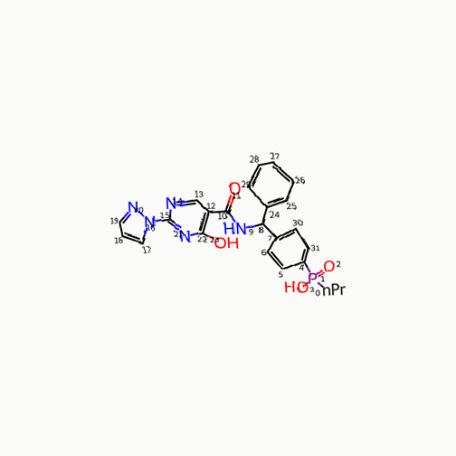 CCCP(=O)(O)c1ccc(C(NC(=O)c2cnc(-n3cccn3)nc2O)c2ccccc2)cc1